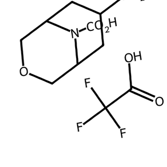 NC1CC2COCC(C1)N2C(=O)O.O=C(O)C(F)(F)F